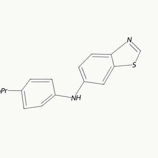 CCCc1ccc(Nc2ccc3ncsc3c2)cc1